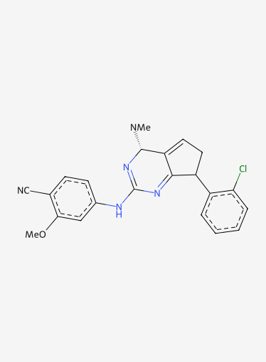 CN[C@H]1N=C(Nc2ccc(C#N)c(OC)c2)N=C2C1=CCC2c1ccccc1Cl